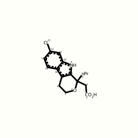 CCCC1(CC(=O)O)OCCc2c1[nH]c1cc(Cl)ccc21